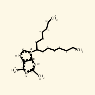 CCCCCCCC(CCCCCC)n1cnc2c(N)nc(C)nc21